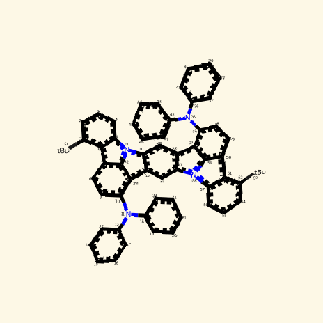 CC(C)(C)c1cccc2c1c1ccc(N(c3ccccc3)c3ccccc3)c3c4cc5c(cc4n2c13)c1c(N(c2ccccc2)c2ccccc2)ccc2c3c(C(C)(C)C)cccc3n5c21